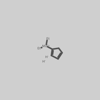 C[CH2][Mo+2]([CH2]C)[C]1=CC=CC1.[H-].[H-]